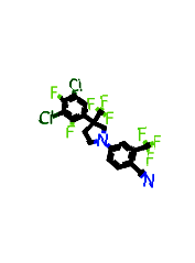 N#Cc1ccc(N2CCC(c3cc(Cl)c(F)c(Cl)c3F)(C(F)(F)F)C2)cc1C(F)(F)F